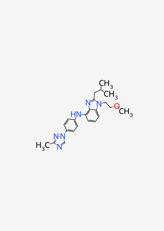 COCCn1c(CC(C)C)nc2c(Nc3ccc(-n4cnc(C)n4)cc3)cccc21